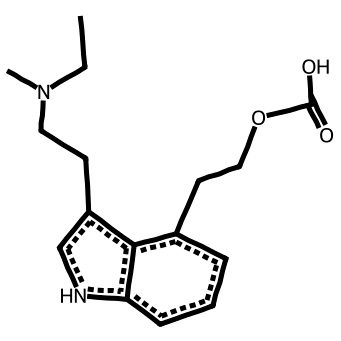 CCN(C)CCc1c[nH]c2cccc(CCOC(=O)O)c12